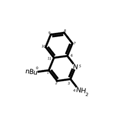 CCCCc1cc(N)nc2ccccc12